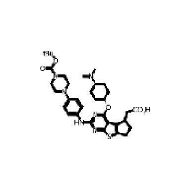 CN(C)[C@H]1CC[C@H](Oc2nc(Nc3ccc(N4CCN(C(=O)OC(C)(C)C)CC4)cc3)nc3sc4c(c23)C(CC(=O)O)CC4)CC1